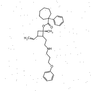 C=CC1C[C@](C)(OC(=O)C2(c3ccccc3)CCCCCC2)C1CCNCCCOc1ccccc1